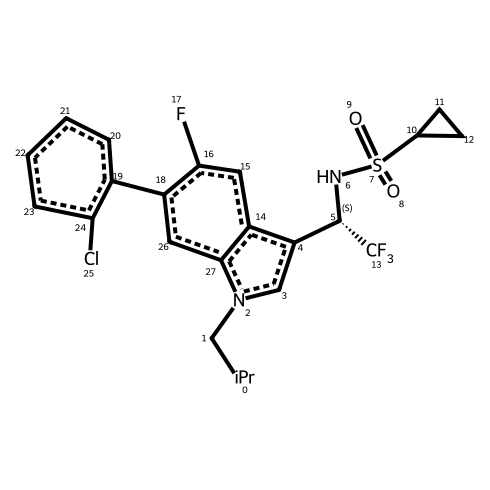 CC(C)Cn1cc([C@H](NS(=O)(=O)C2CC2)C(F)(F)F)c2cc(F)c(-c3ccccc3Cl)cc21